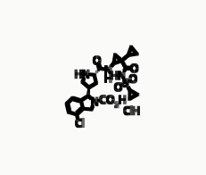 Cl.O=C(NC1CC1(C(=O)NS(=O)(=O)C1CC1)C1CC1)[C@@H]1C[C@@H](C2c3cccc(Cl)c3CN2C(=O)O)CN1